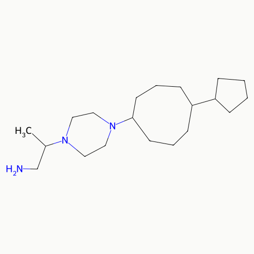 CC(CN)N1CCN(C2CCCC(C3CCCC3)CCC2)CC1